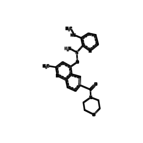 CNc1cccnc1N(N)Oc1cc(C)nc2ccc(C(=O)N3CCOCC3)cc12